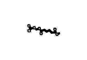 COC(=O)CCCCC(=O)OCOC(=O)Cl